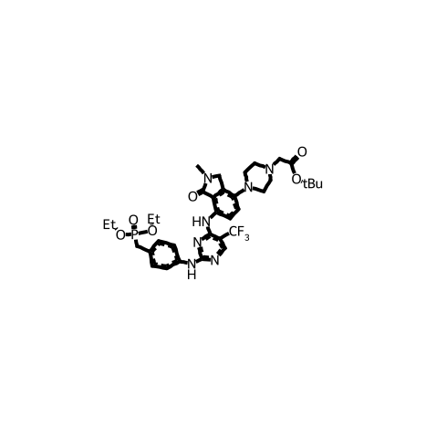 CCOP(=O)(Cc1ccc(Nc2ncc(C(F)(F)F)c(Nc3ccc(N4CCN(CC(=O)OC(C)(C)C)CC4)c4c3C(=O)N(C)C4)n2)cc1)OCC